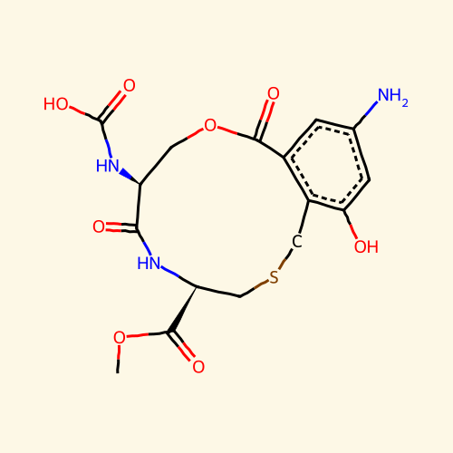 COC(=O)[C@@H]1CSCc2c(O)cc(N)cc2C(=O)OC[C@H](NC(=O)O)C(=O)N1